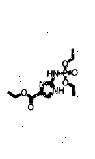 CCOC(=O)c1c[nH]c(NP(=O)(OCC)OCC)n1